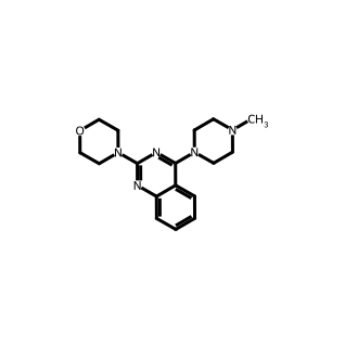 CN1CCN(c2nc(N3CCOCC3)nc3ccccc23)CC1